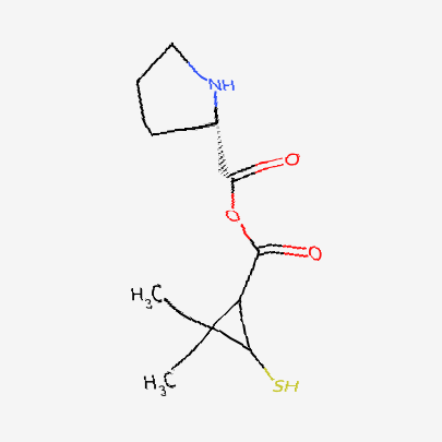 CC1(C)C(S)C1C(=O)OC(=O)[C@@H]1CCCN1